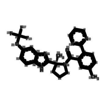 Cc1ccc(-c2ncccn2)c(C(=O)N2CCC[C@@]2(C)c2nc3cc(OC(F)(F)F)ccc3[nH]2)c1